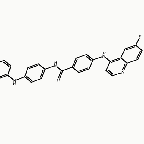 O=C(Nc1ccc(Nc2ccncc2)cc1)c1ccc(Nc2ccnc3ccc(F)cc23)cc1